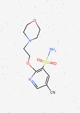 N#Cc1cnc(OCCN2CCOCC2)c(S(N)(=O)=O)c1